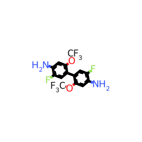 Nc1cc(OC(F)(F)F)c(-c2cc(F)c(N)cc2OC(F)(F)F)cc1F